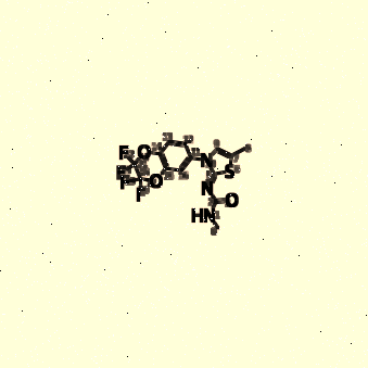 CNC(=O)N=c1sc(C)cn1-c1ccc2c(c1)OC(F)(F)C(F)(F)O2